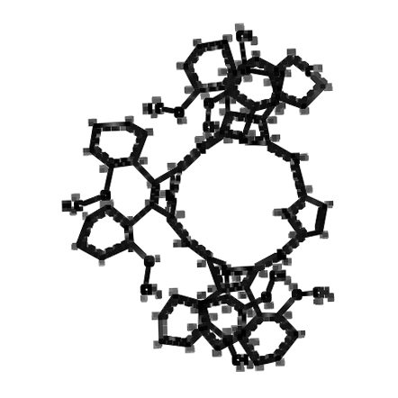 COc1ccccc1C1=C(c2ccccc2OC)c2nc1nc1c(-c3ccccc3OC)c(-c3ccccc3OC)c(nc3nc(nc4c(-c5ccccc5OC)c(-c5ccccc5OC)c(n2)n4-c2ccccc2OC)C=C3)n1-c1ccccc1OC